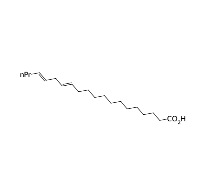 CCC/C=C/C/C=C/CCCCCCCCCCCC(=O)O